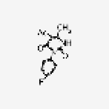 CC(=O)c1c(C)[nH]c(=O)n(-c2ccc(F)cc2)c1=O